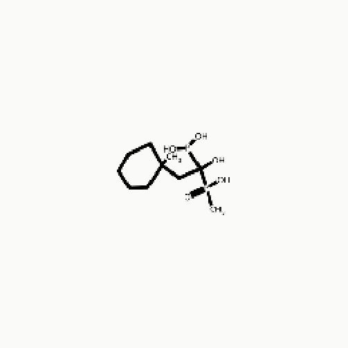 CC1(CC(O)(P(O)O)P(C)(=O)O)CCCCC1